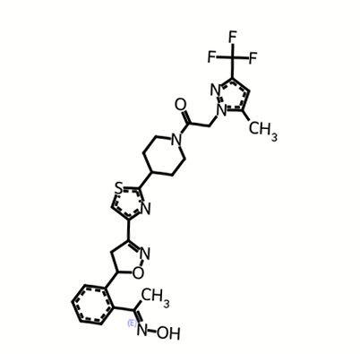 C/C(=N\O)c1ccccc1C1CC(c2csc(C3CCN(C(=O)Cn4nc(C(F)(F)F)cc4C)CC3)n2)=NO1